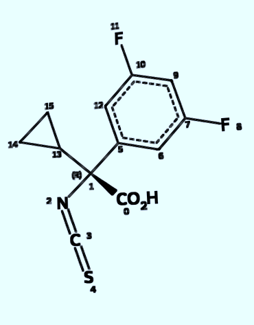 O=C(O)[C@](N=C=S)(c1cc(F)cc(F)c1)C1CC1